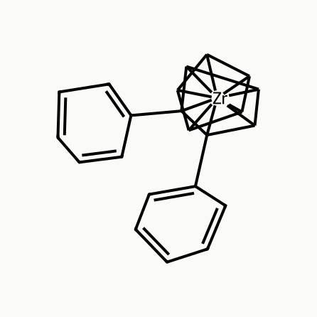 c1ccc([C]23[CH]4[CH]5[CH]6[C]2(c2ccccc2)[Zr]54632789[CH]3[CH]2[CH]7[CH]8[CH]39)cc1